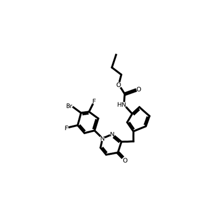 CCCOC(=O)Nc1cccc(Cc2nn(-c3cc(F)c(Br)c(F)c3)ccc2=O)c1